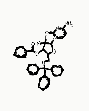 Nc1ccn(C2OC(COC(c3ccccc3)(c3ccccc3)c3ccccc3)C(OC(=O)c3ccccc3)C2(F)F)c(=O)n1